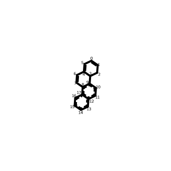 C1=CCC2C(=C1)C=Cc1c2ccc2ccccc12